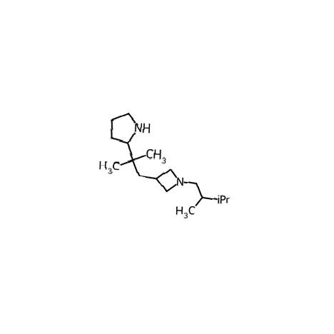 CC(C)C(C)CN1CC(CC(C)(C)C2CCCN2)C1